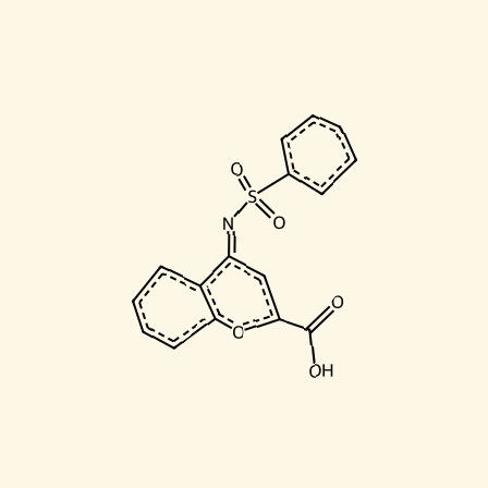 O=C(O)c1c/c(=N\S(=O)(=O)c2ccccc2)c2ccccc2o1